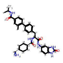 Cc1cc(C(=O)NC(C)C(F)(F)F)ccc1-c1ccc(CC(NC(=O)[C@H]2CC[C@H](CN)CC2)C(=O)Nc2ccc3[nH]c(=O)[nH]c3c2)cc1